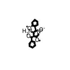 COc1ccccc1C(=O)c1cc[n+]([O-])c(-c2ccccc2OC)c1N